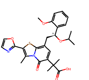 COc1ccccc1[C@H](Cc1cc(C(C)(C)C(=O)O)c(=O)n2c(C)c(-c3ncco3)sc12)OC(C)C